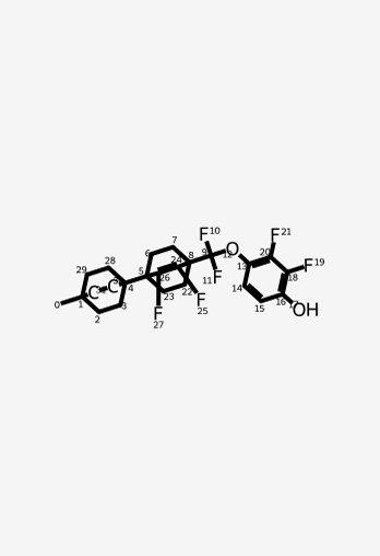 CC12CCC(C34CCC(C(F)(F)Oc5ccc(O)c(F)c5F)(CC3)C(F)=C4F)(CC1)CC2